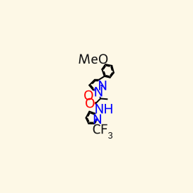 COc1cccc(-c2ccc(=O)n(C(C)C(=O)Nc3cccc(C(F)(F)F)n3)n2)c1